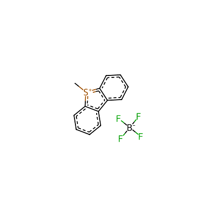 C[s+]1c2ccccc2c2ccccc21.F[B-](F)(F)F